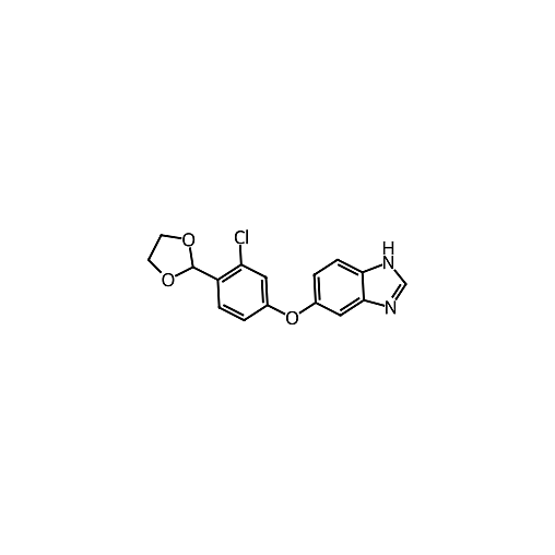 Clc1cc(Oc2ccc3[nH]cnc3c2)ccc1C1OCCO1